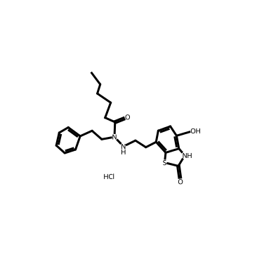 CCCCCC(=O)N(CCc1ccccc1)NCCc1ccc(O)c2[nH]c(=O)sc12.Cl